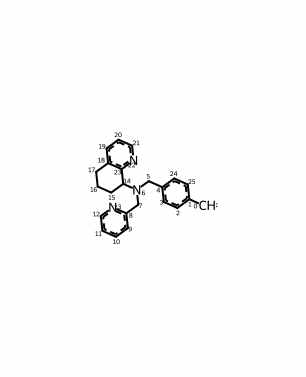 [CH]c1ccc(CN(Cc2ccccn2)C2CCCc3cccnc32)cc1